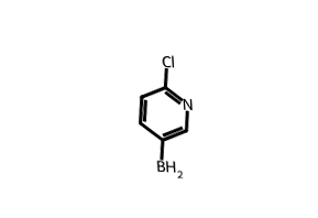 Bc1ccc(Cl)nc1